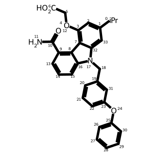 CC(C)c1cc(OCC(=O)O)c2c3c(C(N)=O)cccc3n(Cc3cccc(Oc4ccccc4)c3)c2c1